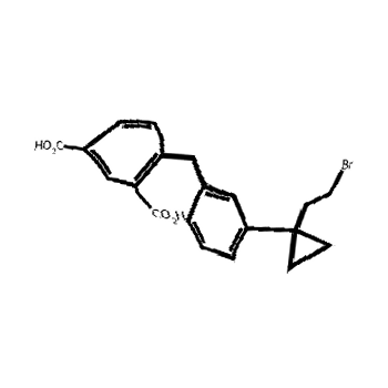 O=C(O)c1ccc(Cc2cccc(C3(CCBr)CC3)c2)c(C(=O)O)c1